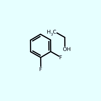 CCO.Fc1ccccc1F